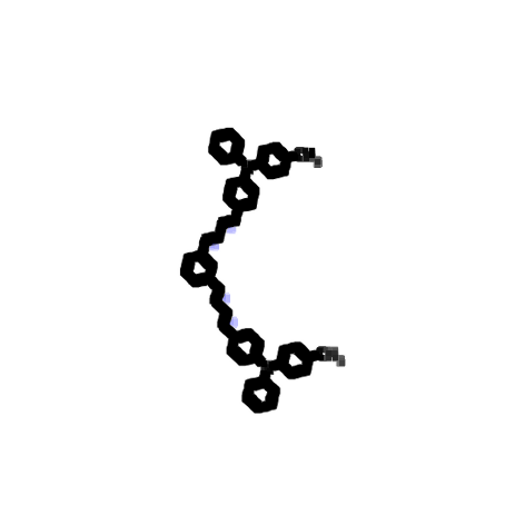 Cc1ccc(N(c2ccccc2)c2ccc(/C=C/C=C/c3cccc(/C=C/C=C/c4ccc(N(c5ccccc5)c5ccc(C)cc5)cc4)c3)cc2)cc1